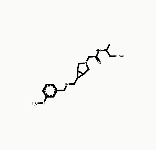 COCC(C)NC(=O)CN1CC2C(CNCc3cccc(OC(F)(F)F)c3)C2C1